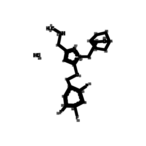 CNCc1cc(OCc2cc(F)c(F)cc2F)n(CC2OC3CCC2CC3)n1.Cl